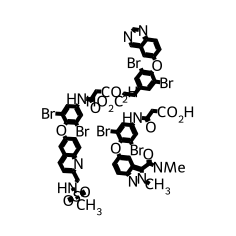 CNC(=O)c1c2cc(Oc3c(Br)cc(NC(=O)CC(=O)O)cc3Br)ccc2nn1C.CS(=O)(=O)NCc1ccc2cc(Oc3c(Br)cc(NC(=O)CC(=O)O)cc3Br)ccc2n1.O=C(O)CCc1cc(Br)c(Oc2ccc3ncncc3c2)c(Br)c1